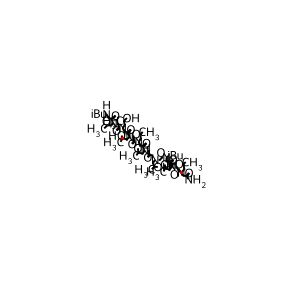 CCC(C)NCC(=O)N(CC(=O)N(CC(=O)N(CC(=O)N(CC(=O)N(CC(=O)CN(CC(=O)N(CC(=O)N(CC(=O)N(CC(N)=O)CC(C)O)CC(C)O)C(C)CC)CC(C)O)CC(C)O)CC(C)O)CC(C)O)CC(C)O)CC(C)O